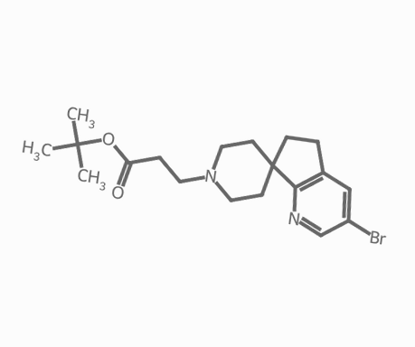 CC(C)(C)OC(=O)CCN1CCC2(CCc3cc(Br)cnc32)CC1